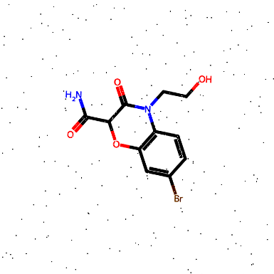 NC(=O)C1Oc2cc(Br)[c]cc2N(CCO)C1=O